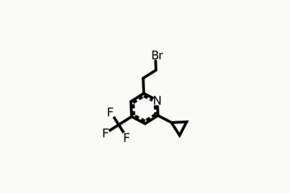 FC(F)(F)c1cc(CCBr)nc(C2CC2)c1